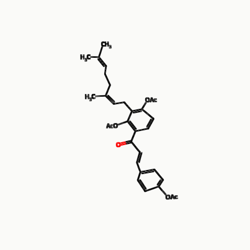 CC(=O)Oc1ccc(C=CC(=O)c2ccc(OC(C)=O)c(CC=C(C)CCC=C(C)C)c2OC(C)=O)cc1